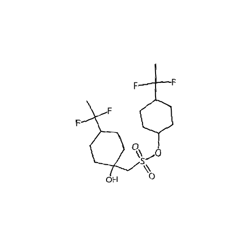 CC(F)(F)C1CCC(OS(=O)(=O)CC2(O)CCC(C(C)(F)F)CC2)CC1